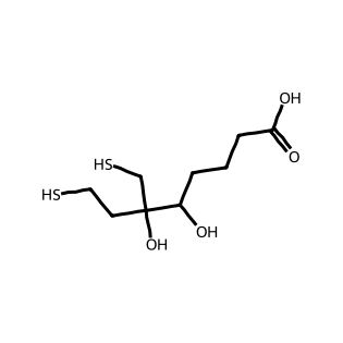 O=C(O)CCCC(O)C(O)(CS)CCS